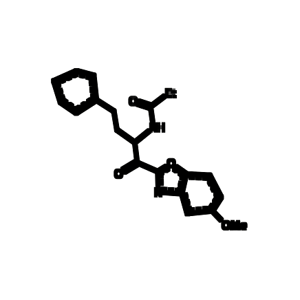 CCC(=O)NC(CCc1ccccc1)C(=O)c1nc2cc(OC)ccc2o1